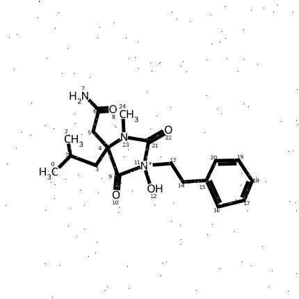 CC(C)CC1(CC(N)=O)C(=O)[N+](O)(CCc2ccccc2)C(=O)N1C